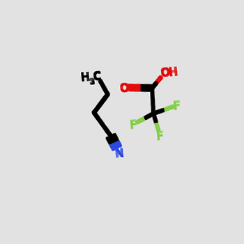 CCCC#N.O=C(O)C(F)(F)F